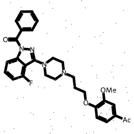 COc1cc(C(C)=O)ccc1OCCCN1CCN(c2nn(C(=O)c3ccccc3)c3cccc(F)c23)CC1